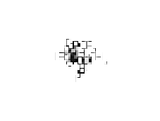 CC(C)[C@@H](NC(=O)c1cc(C(F)(F)F)ccc1F)C(=O)N1CCC2(CC1)CN(C)C[C@@H]2c1ccc(F)cc1